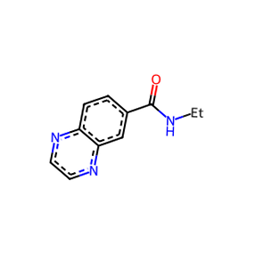 CCNC(=O)c1ccc2nccnc2c1